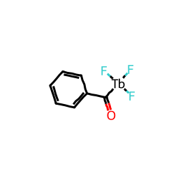 O=[C](c1ccccc1)[Tb]([F])([F])[F]